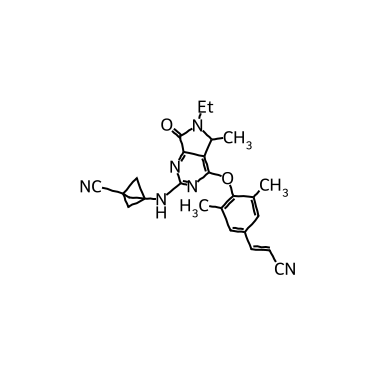 CCN1C(=O)c2nc(NC34CC(C#N)(C3)C4)nc(Oc3c(C)cc(/C=C/C#N)cc3C)c2C1C